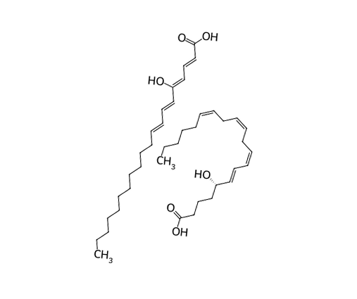 CCCCC/C=C\C/C=C\C/C=C\C=C\[C@@H](O)CCCC(=O)O.CCCCCCCCCCC/C=C/C=C/C(O)=C/C=C/C(=O)O